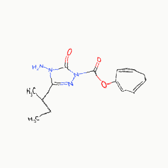 CCC(C)c1nn(C(=O)Oc2ccccc2)c(=O)n1N